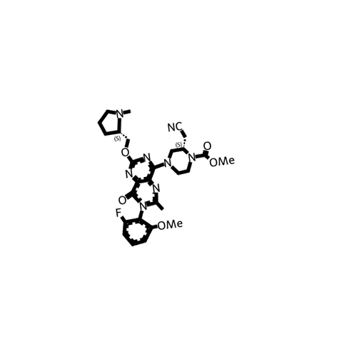 COC(=O)N1CCN(c2nc(OC[C@@H]3CCCN3C)nc3c(=O)n(-c4c(F)cccc4OC)c(C)nc23)C[C@@H]1CC#N